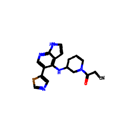 N#CCC(=O)N1CCCC(Nc2c(-c3cncs3)cnc3[nH]ccc23)C1